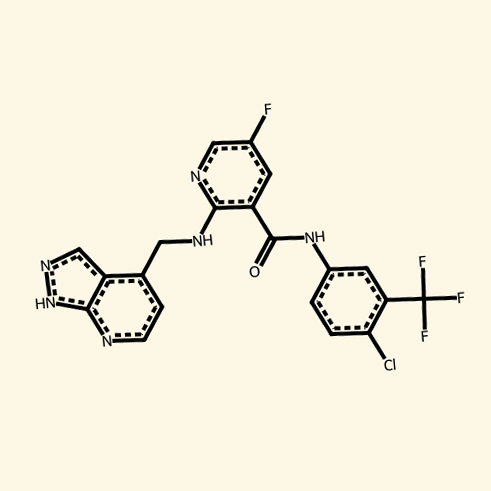 O=C(Nc1ccc(Cl)c(C(F)(F)F)c1)c1cc(F)cnc1NCc1ccnc2[nH]ncc12